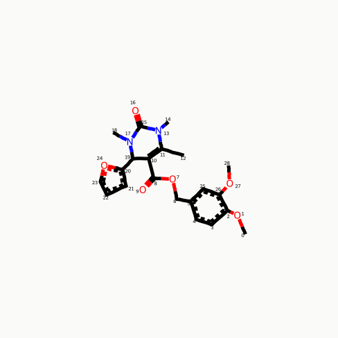 COc1ccc(COC(=O)C2=C(C)N(C)C(=O)N(C)C2c2ccco2)cc1OC